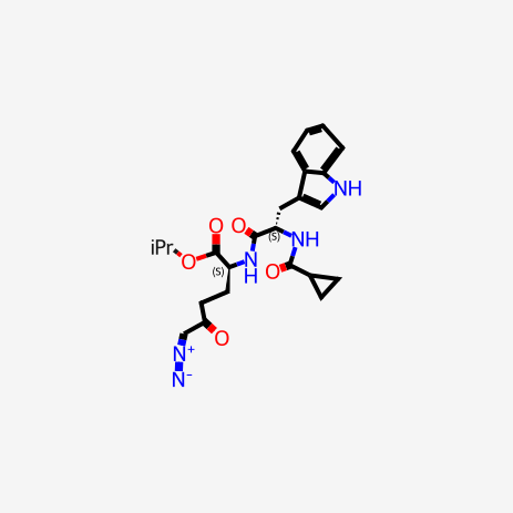 CC(C)OC(=O)[C@H](CCC(=O)C=[N+]=[N-])NC(=O)[C@H](Cc1c[nH]c2ccccc12)NC(=O)C1CC1